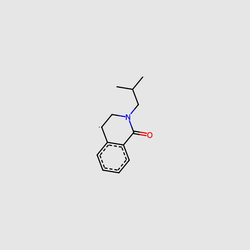 CC(C)CN1C[CH]c2ccccc2C1=O